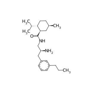 CCCc1cccc(C[C@H](N)CNC(=O)[C@@H]2C[C@H](C)CC[C@H]2C(C)C)c1